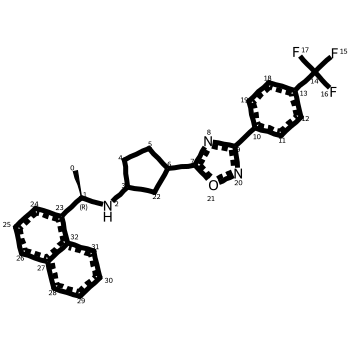 C[C@@H](NC1CCC(c2nc(-c3ccc(C(F)(F)F)cc3)no2)C1)c1cccc2ccccc12